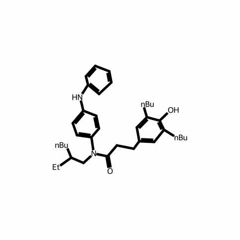 CCCCc1cc(CCC(=O)N(CC(CC)CCCC)c2ccc(Nc3ccccc3)cc2)cc(CCCC)c1O